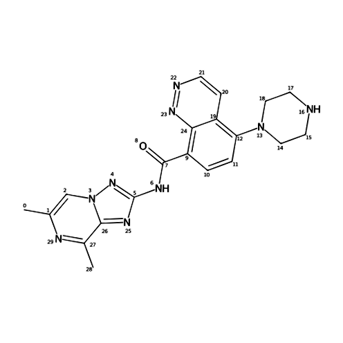 Cc1cn2nc(NC(=O)c3ccc(N4CCNCC4)c4ccnnc34)nc2c(C)n1